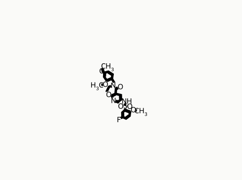 COc1ccc(CN2CCOc3ncc(NS(=O)(=O)c4cc(F)ccc4OC)cc3C2=O)c(OC)c1